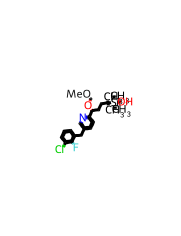 COCOC(CCC(C)(C)[Si](C)(C)O)c1ccc(Cc2cccc(Cl)c2F)cn1